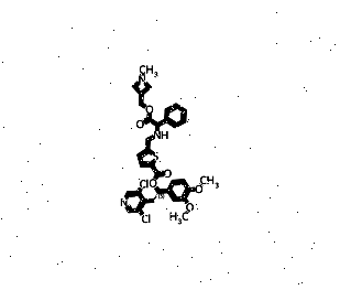 COc1ccc([C@H](Cc2c(Cl)cncc2Cl)OC(=O)c2ccc(CNC(C(=O)OCC3CN(C)C3)c3ccccc3)s2)cc1OC